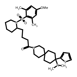 COc1cc(C)c(S(=O)(=O)N2CCCCC2CCCC(=O)N2CCC3(CC2)CCC(c2cccs2)(N(C)C)CC3)c(C)c1